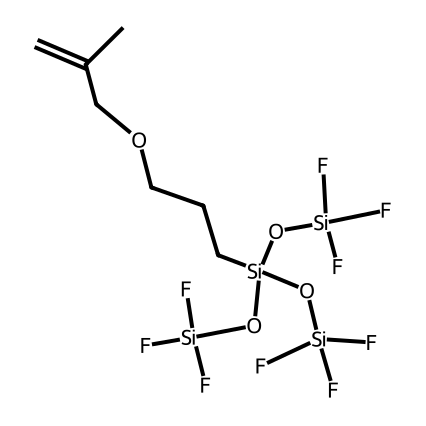 C=C(C)COCCC[Si](O[Si](F)(F)F)(O[Si](F)(F)F)O[Si](F)(F)F